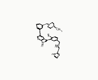 CN1CCN(Cc2cccc(-c3cnc4[nH]cc(-c5cc(CNCc6ncc[nH]6)ccc5F)c4c3)c2)CC1